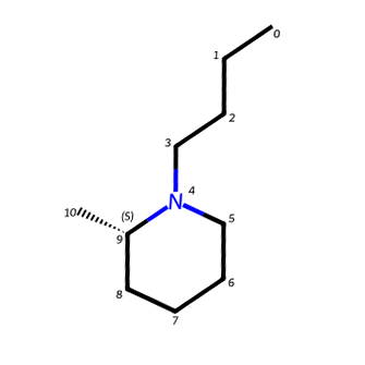 CCCCN1CCCC[C@@H]1C